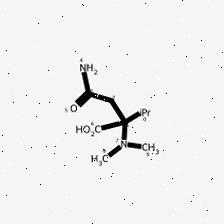 CC(C)C(CC(N)=O)(C(=O)O)N(C)C